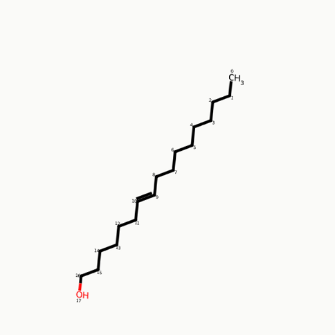 CCCCCCCCCC=CCCCCCCO